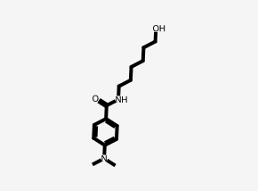 CN(C)c1ccc(C(=O)NCCCCCCO)cc1